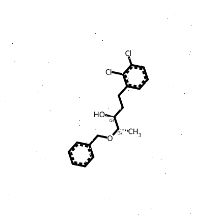 C[C@H](OCc1ccccc1)[C@@H](O)CCc1cccc(Cl)c1Cl